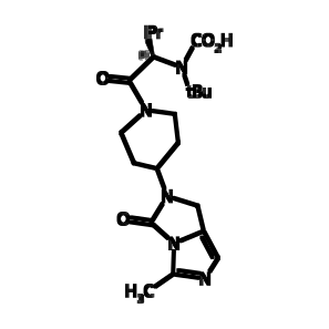 Cc1ncc2n1C(=O)N(C1CCN(C(=O)[C@@H](C(C)C)N(C(=O)O)C(C)(C)C)CC1)C2